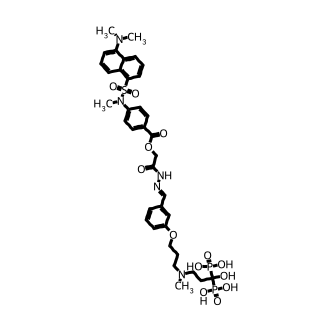 CN(CCCOc1cccc(/C=N/NC(=O)COC(=O)c2ccc(N(C)S(=O)(=O)c3cccc4c(N(C)C)cccc34)cc2)c1)CCC(O)(P(=O)(O)O)P(=O)(O)O